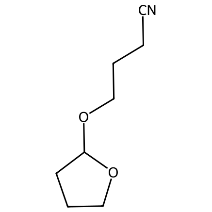 N#CCCCOC1CCCO1